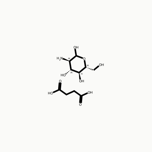 N[C@H]1C(O)O[C@H](CO)[C@@H](O)[C@@H]1O.O=C(O)CCC(=O)O